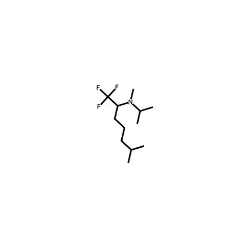 CC(C)CCCC(N(C)C(C)C)C(F)(F)F